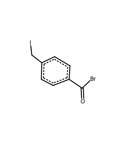 O=C(Br)c1ccc(CI)cc1